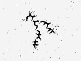 O=C(O)CC(C(=O)OC(CCOCC(F)(F)C(F)OC(F)(F)C(F)(F)C(F)(F)F)COCC(F)(F)C(F)OC(F)(F)C(F)(F)C(F)(F)F)S(=O)(=O)O.[NaH]